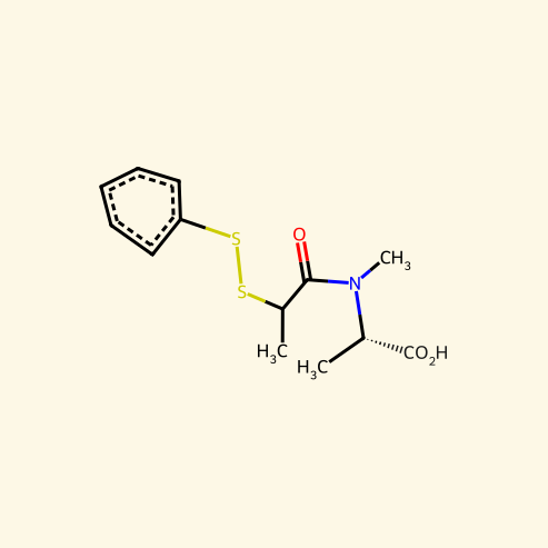 CC(SSc1ccccc1)C(=O)N(C)[C@@H](C)C(=O)O